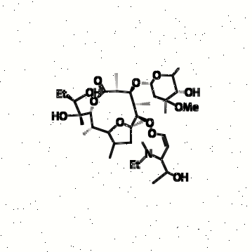 CC[C@@H](O)[C@@](C)(O)[C@@H]1OC(=O)[C@H](C)[C@@H](O[C@H]2CC(C)(OC)[C@@H](O)C(C)O2)[C@H](C)[C@@H](OO/C=C\C(C(C)O)N(C)CC)[C@@]2(C)CC(C)C(O2)[C@@H]1C